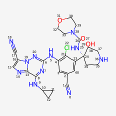 N#Cc1cc(Nc2nc(NC3CC3)c3ncc(C#N)n3n2)c(Cl)c([C@]2(NC(=O)N3CCOCC3)CCNC[C@H]2O)c1